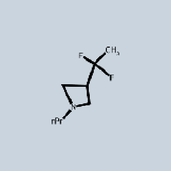 CCCN1CC(C(C)(F)F)C1